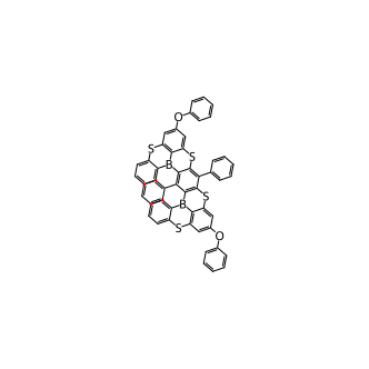 c1ccc(Oc2cc3c4c(c2)Sc2c(c(-c5ccccc5)c5c(c2-c2ccccc2)Sc2cc(Oc6ccccc6)cc6c2B5c2ccccc2S6)B4c2ccccc2S3)cc1